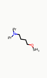 CC(C)N(CCCCO[SiH3])C(C)C